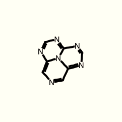 C1=NC=C2N=CN=C3N=CN=C1N23